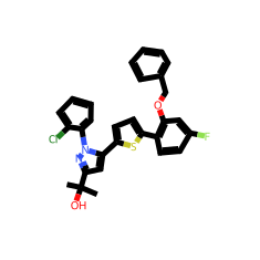 CC(C)(O)c1cc(-c2ccc(-c3ccc(F)cc3OCc3ccccc3)s2)n(-c2ccccc2Cl)n1